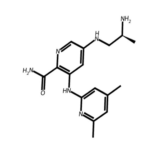 Cc1cc(C)nc(Nc2cc(NC[C@H](C)N)cnc2C(N)=O)c1